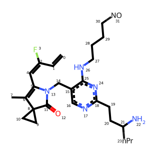 C=C/C(F)=C\C1=C(C)C2(CC2)C(=O)N1Cc1cnc(CCC(N)CCC)nc1NCCCCN=O